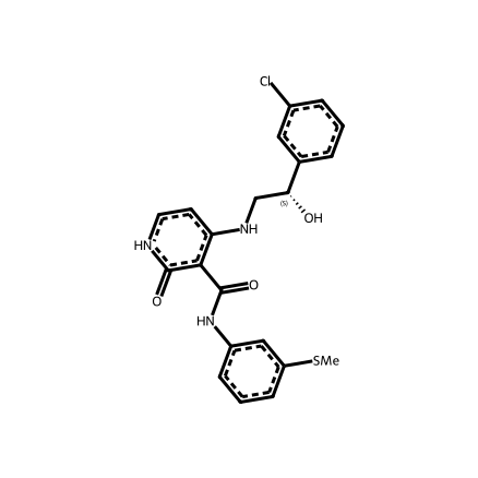 CSc1cccc(NC(=O)c2c(NC[C@@H](O)c3cccc(Cl)c3)cc[nH]c2=O)c1